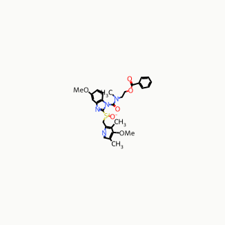 COc1ccc2c(c1)nc([S+]([O-])Cc1ncc(C)c(OC)c1C)n2C(=O)N(C)CCOC(=O)c1ccccc1